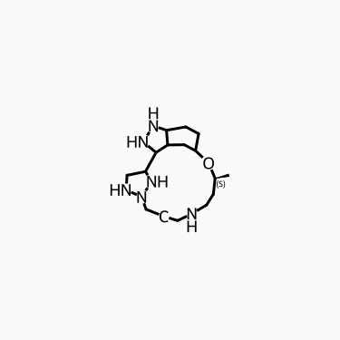 C[C@H]1CCNCCCN2NCC(N2)C2NNC3CCC(CC32)O1